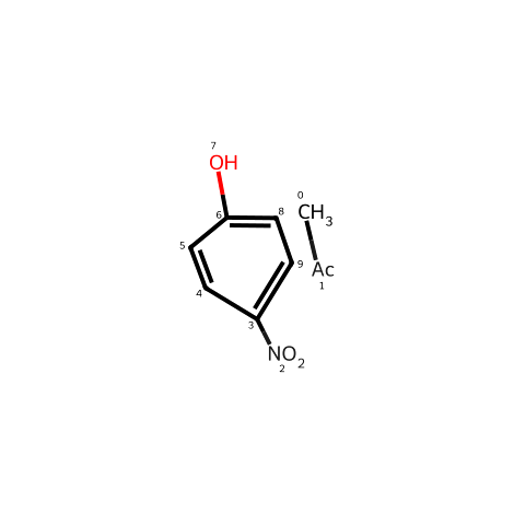 CC(C)=O.O=[N+]([O-])c1ccc(O)cc1